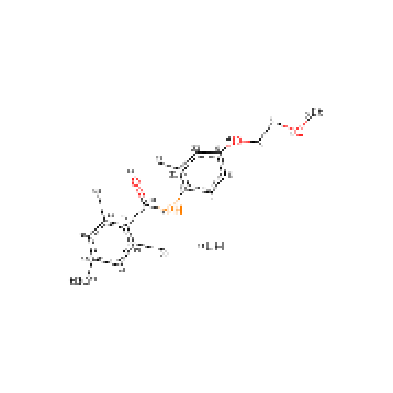 CCOCCOc1ccc(PC(=O)c2c(C)cc(C(C)(C)C)cc2C)c(C)c1.[LiH]